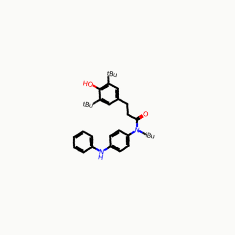 CCC(C)N(C(=O)CCc1cc(C(C)(C)C)c(O)c(C(C)(C)C)c1)c1ccc(Nc2ccccc2)cc1